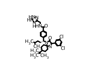 CC(C)CC[C@H](c1ccc(C(=O)NCC2=NNNN2)cc1)N1C(=O)C(c2cc(Cl)cc(Cl)c2)=NC12CCC(C(C)(C)C)CC2